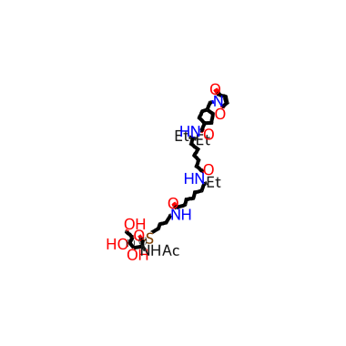 CCC(CCCCCC(=O)NCCCCCS[C@@H]1OC(CO)[C@H](O)C(O)C1NC(C)=O)NC(=O)CCCCCC(CC)(CC)NC(=O)C1CCC(CN2C(=O)C=CC2=O)CC1